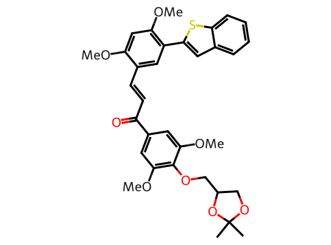 COc1cc(OC)c(-c2cc3ccccc3s2)cc1C=CC(=O)c1cc(OC)c(OCC2COC(C)(C)O2)c(OC)c1